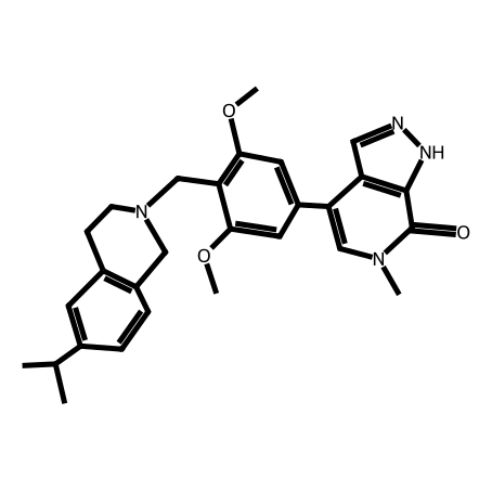 COc1cc(-c2cn(C)c(=O)c3[nH]ncc23)cc(OC)c1CN1CCc2cc(C(C)C)ccc2C1